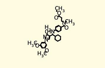 CCOC(=O)CCN(C)C(=O)c1ccc(NC(c2cn(-c3cc(OC)cc(OC)c3)nc2C)C2CCCCC2)cc1